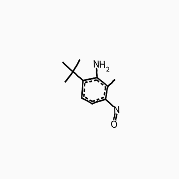 Cc1c(N=O)ccc(C(C)(C)C)c1N